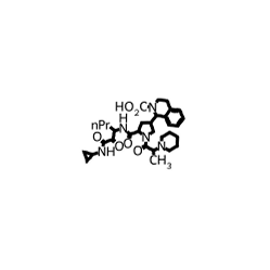 CCCC(NC(=O)C1CC(C2c3ccccc3CCN2C(=O)O)CN1C(=O)C(C)N1CCCCC1)C(=O)C(=O)NC1CC1